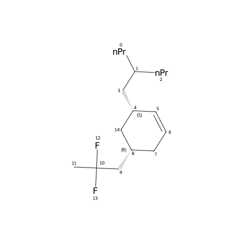 CCCC(CCC)C[C@@H]1C=CC[C@H](CC(C)(F)F)C1